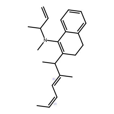 C=CC(C)N(C)C1=C(C(C)/C(C)=C/C=C\C)CCc2ccccc21